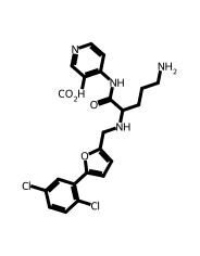 NCCCC(NCc1ccc(-c2cc(Cl)ccc2Cl)o1)C(=O)Nc1ccncc1C(=O)O